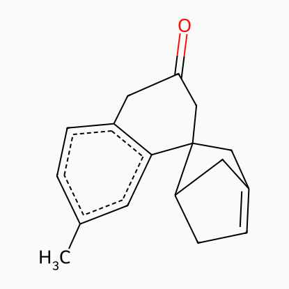 Cc1ccc2c(c1)C1(CC(=O)C2)CC2=CCC1C2